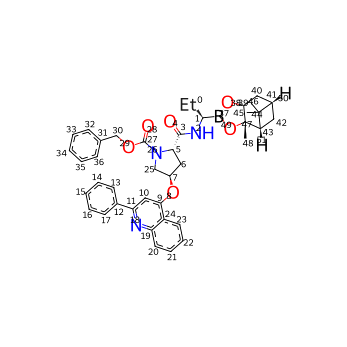 CC[C@H](NC(=O)[C@@H]1C[C@@H](Oc2cc(-c3ccccc3)nc3ccccc23)CN1C(=O)OCc1ccccc1)B1OC2C[C@@H]3C[C@@H](C3(C)C)[C@]2(C)O1